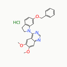 COc1cc2ncnc(N3CCc4ccc(OCc5ccccc5)cc43)c2cc1OC.Cl